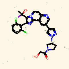 CC(O)(I)c1c(-c2c(Cl)cccc2Cl)nc2c3cc(-c4cnn([C@H]5CCN(C(=O)CO)C5)c4)cnc3ccn12